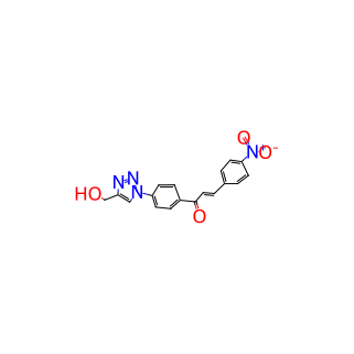 O=C(C=Cc1ccc([N+](=O)[O-])cc1)c1ccc(-n2cc(CO)nn2)cc1